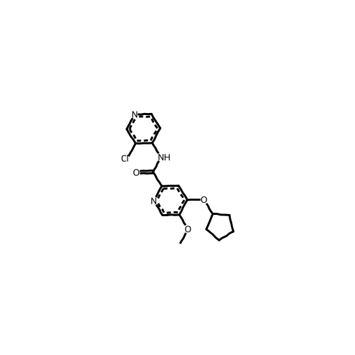 COc1cnc(C(=O)Nc2ccncc2Cl)cc1OC1CCCC1